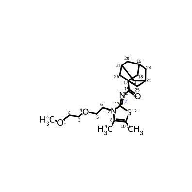 COCCOCCn1c(C)c(C)s/c1=N\C(=O)C12CC3CC(CC(C3)C1)C2